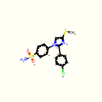 CSc1cn(-c2ccc(S(N)(=O)=O)cc2)c(-c2ccc(Cl)cc2)n1